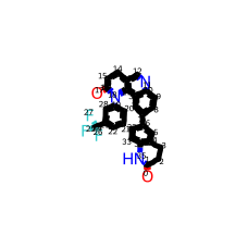 O=C1CCc2cc(-c3ccc4ncc5ccc(=O)n(-c6cccc(C(F)(F)F)c6)c5c4c3)ccc2N1